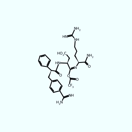 N=C(N)NCCC[C@H](N=C(OC(=O)C(F)(F)F)[C@H](CC(=O)O)NC(=O)[C@@H](Cc1ccc(C(=N)N)cc1)c1ccccc1)C(N)=O